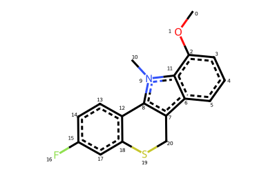 COc1cccc2c3c(n(C)c12)-c1ccc(F)cc1SC3